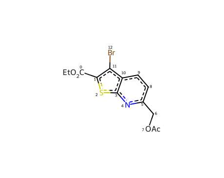 CCOC(=O)c1sc2nc(COC(C)=O)ccc2c1Br